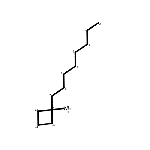 CCCCCCCCC1([NH])CCC1